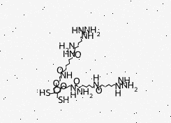 N=C(N)NCCCCCC(=O)NCCCC[C@H](N)C(=O)NCCOc1cc(CS)c(CS)cc1OCCNC(=O)CCCCCNC(=O)[C@@H](N)CCCCNC(=N)N